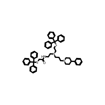 O=C(CSC(c1ccccc1)(c1ccccc1)c1ccccc1)NCCN(CCCN1CCC(c2ccccc2)CC1)CCSC(c1ccccc1)(c1ccccc1)c1ccccc1